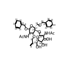 C=CCO[C@@H]1[C@@H](NC(C)=O)[C@@H](OCc2ccccc2)O[C@H](COCc2ccccc2)[C@H]1O[C@@H]1O[C@H](CO)[C@@H](O)[C@H](O)[C@H]1NC(C)=O